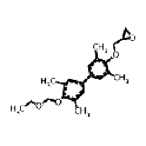 CCOCOc1c(C)cc(-c2cc(C)c(OCC3CO3)c(C)c2)cc1C